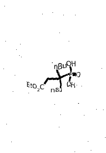 CCCCC(CCCC)(CC(=O)OCC)P(=O)(O)O